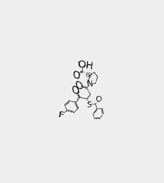 O=C(SC(CC(=O)N1CCC[C@H]1C(=O)O)C(=O)c1ccc(F)cc1)c1ccccc1